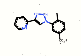 Cc1ccc(C(=O)O)cc1N1C=C(c2ccccn2)NN1